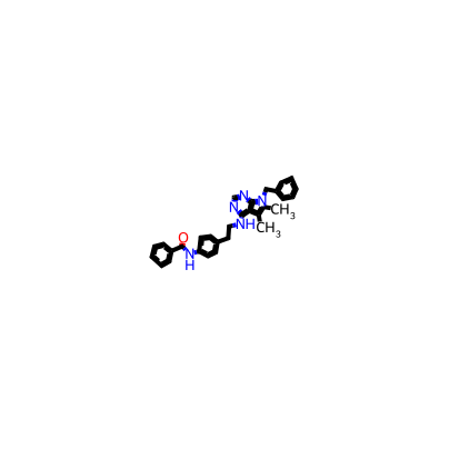 Cc1c(C)n(Cc2ccccc2)c2ncnc(NCCc3ccc(NC(=O)c4ccccc4)cc3)c12